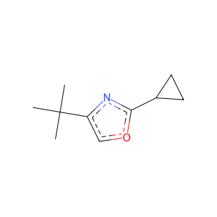 CC(C)(C)c1coc(C2CC2)n1